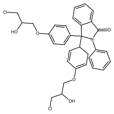 O=C1c2ccccc2C(c2ccc(OCC(O)CCl)cc2)(C2C=CC(OCC(O)CCl)=CC2)N1c1ccccc1